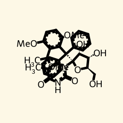 COc1ccc(OC)c(C(c2ccccc2)(c2ccccc2)[C@@]2(n3cc(C)c(=O)[nH]c3=O)O[C@H](CO)[C@@H](O)[C@H]2O)c1C(C)OC